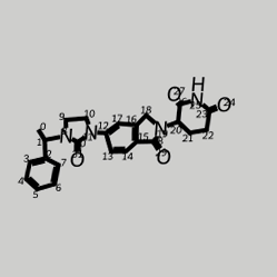 CC(c1ccccc1)N1CCN(c2ccc3c(c2)CN(C2CCC(=O)NC2=O)C3=O)C1=O